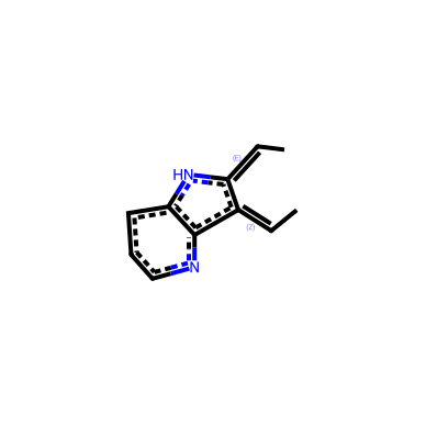 C/C=c1\c(=C/C)[nH]c2cccnc12